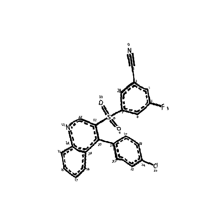 N#Cc1cc(F)cc(S(=O)(=O)c2cnc3ccccc3c2-c2ccc(Cl)cc2)c1